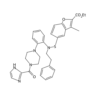 CCOC(=O)c1oc2ccc(SN(CCc3ccccc3)c3ccccc3N3CCN(C(=O)c4ncc[nH]4)CC3)cc2c1C